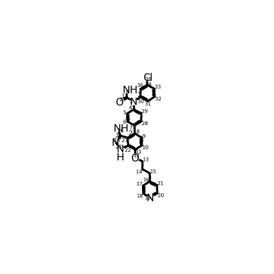 NC(=O)N(c1ccc(-c2ccc(OCCCc3ccncc3)c3[nH]nc(N)c23)cc1)c1cccc(Cl)c1